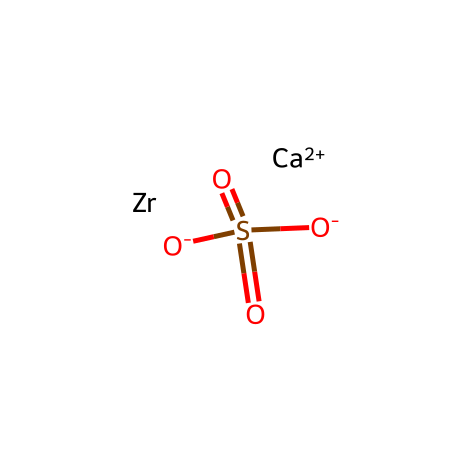 O=S(=O)([O-])[O-].[Ca+2].[Zr]